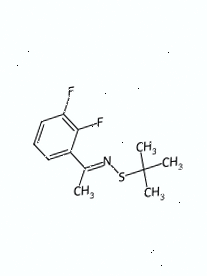 CC(=NSC(C)(C)C)c1cccc(F)c1F